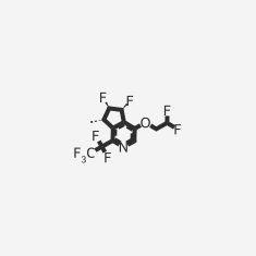 C[C@H]1c2c(C(F)(F)C(F)(F)F)ncc(OCC(F)F)c2[C@@H](F)[C@H]1F